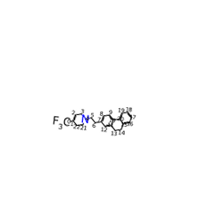 FC(F)(F)C1=CCN(CCc2ccc3c(c2)CCc2ccccc2-3)CC1